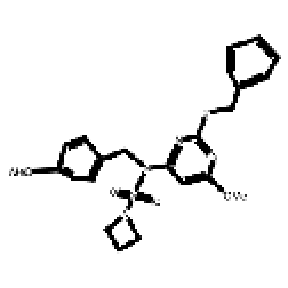 COc1ccc(CN(c2cc(OC)nc(SCc3ccccc3)n2)S(=O)(=O)N2CCC2)cc1